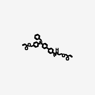 C=CC(=O)COCCNN(C)c1ccc(-c2ccc(N(Cc3ccccc3)c3ccc(COC(=O)C=C)cc3)cc2)cc1